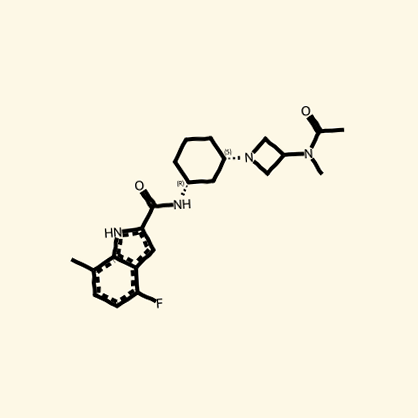 CC(=O)N(C)C1CN([C@H]2CCC[C@@H](NC(=O)c3cc4c(F)ccc(C)c4[nH]3)C2)C1